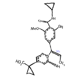 C/C=C(/c1cc(O)c(C(=O)NC2CC2)c(OC)c1)n1ccc(C2(C(=O)O)CC2)cc1=N